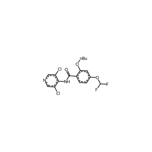 CCCCOc1cc(OC(F)F)ccc1C(=O)Nc1c(Cl)cncc1Cl